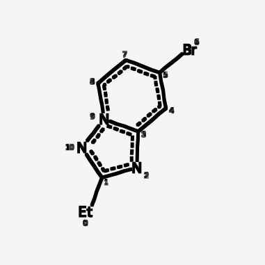 CCc1nc2cc(Br)ccn2n1